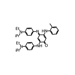 CCN(c1ccc(N=C2C=C(Nc3ccc(N(CC)C(C)C)cc3)C(=O)C=C2Nc2ccccc2C)cc1)C(C)C